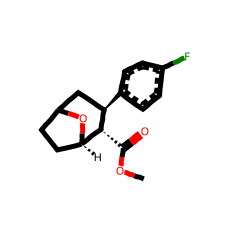 COC(=O)[C@@H]1[C@H]2CCC(C[C@H]1c1ccc(F)cc1)O2